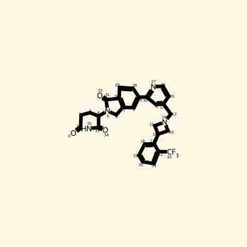 O=C1CCC(N2Cc3cc(-c4cc(CN5CC(c6ccccc6C(F)(F)F)C5)ccn4)ccc3C2=O)C(=O)N1